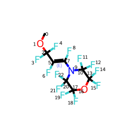 COC(F)(F)/C(F)=C(\F)N1C(F)(F)C(F)(F)OC(F)(F)C1(F)F